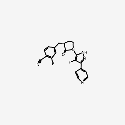 N#Cc1ccc(C[C@H]2CCN(c3[nH]nc(-c4ccncc4)c3F)C2=O)cc1F